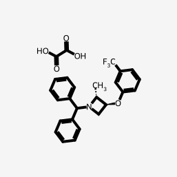 C[C@@H]1[C@@H](Oc2cccc(C(F)(F)F)c2)CN1C(c1ccccc1)c1ccccc1.O=C(O)C(=O)O